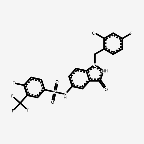 O=c1[nH]n(Cc2ccc(F)cc2Cl)c2ccc(NS(=O)(=O)c3ccc(F)c(C(F)(F)F)c3)cc12